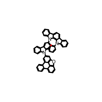 c1ccc(-n2c3ccccc3c3ccc4c5ccccc5n(-c5ccc6c(c5)c5ccccc5n6-c5cc6oc7cccc8c9ccccc9c(c5)c6c78)c4c32)cc1